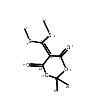 CSC(SC)=C1C(=O)OC(C)(C)OC1=O